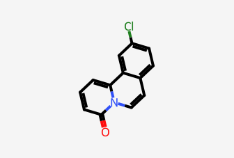 O=c1cccc2c3cc(Cl)ccc3ccn12